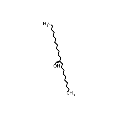 CCCCCCCCCCCCC(=CO)CCCCCCCCCC